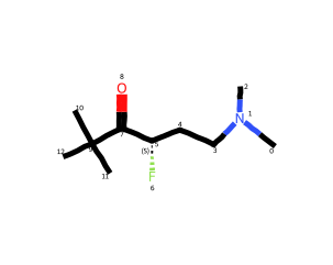 CN(C)CC[C@H](F)C(=O)C(C)(C)C